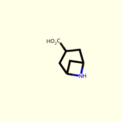 O=C(O)C1CC2CC(C1)N2